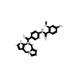 COc1cc(Cl)ccc1C(=O)Nc1ccc(C(=O)N2Cc3cccn3Cc3ccsc32)cc1